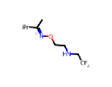 C/C(=N\OCCNCC(F)(F)F)C(C)C